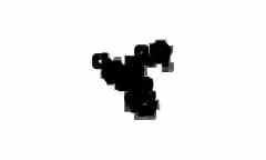 COc1ccc(Cl)cc1-c1nn(C(=O)CN2CCC[C@H]2C)cc1NC(=O)c1cnn2cccnc12